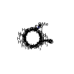 CC[C@@H]1NC(=O)[C@@H]2[C@@H]([C@H](C)C/C=C/C(=O)OC)ON2C(=O)[C@H](C(C)C)N(C)C(=O)[C@H](CC(C)C)N(C)C(=O)[C@H](CC(C)C)N(C)C(=O)[C@@H](C)NC(=O)[C@H](C)NC(=O)[C@H](CC(C)C)N(C)C(=O)[C@H](C(C)C)NC(=O)[C@H]([C@@H](C)OCCCCN2CCOCC2)N(C)C(=O)[C@@H](C)N(C)C1=O